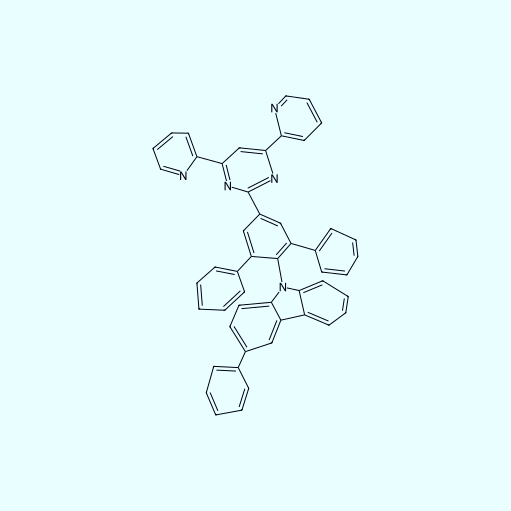 c1ccc(-c2ccc3c(c2)c2ccccc2n3-c2c(-c3ccccc3)cc(-c3nc(-c4ccccn4)cc(-c4ccccn4)n3)cc2-c2ccccc2)cc1